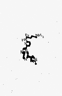 CC[C@@H](CCCN)Nc1cccc(-c2cnc3cnc(-c4cnn(C)c4)cn23)n1